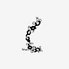 COc1cc(C(=O)NC2CC3(CCN(CC4CCN(c5c(F)cc(C6CCC(=O)NC6=O)cc5F)CC4)CC3)C2)ccc1Nc1ncc2c(n1)N(C(C)C)CC(F)(F)C(=O)N2C